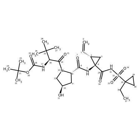 C=C[C@@H]1C[C@]1(NC(=O)[C@@H]1C[C@@H](O)CN1C(=O)[C@@H](NC(=O)OC(C)(C)C)C(C)(C)C)C(=O)NS(=O)(=O)C1(CC)CC1